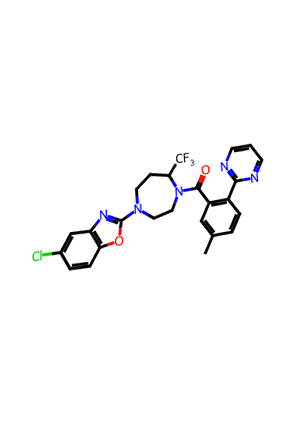 Cc1ccc(-c2ncccn2)c(C(=O)N2CCN(c3nc4cc(Cl)ccc4o3)CCC2C(F)(F)F)c1